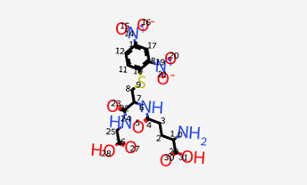 NC(CCC(=O)NC(CSc1ccc([N+](=O)[O-])cc1[N+](=O)[O-])C(=O)NCC(=O)O)C(=O)O